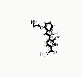 NCCOc1cccc2[nH]c(-c3c[c]c(C(N)=O)[nH]c3=O)cc12